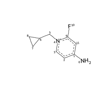 Nc1cc[n+](CC2CC2)c(F)c1